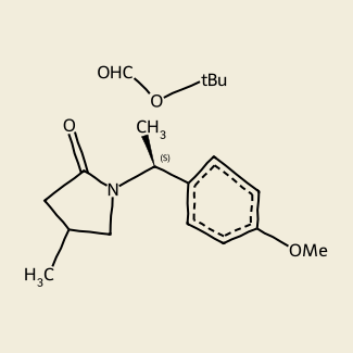 CC(C)(C)OC=O.COc1ccc([C@H](C)N2CC(C)CC2=O)cc1